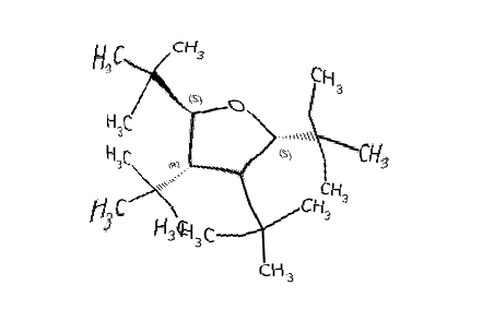 CC(C)(C)C1[C@@H](C(C)(C)C)O[C@H](C(C)(C)C)[C@H]1C(C)(C)C